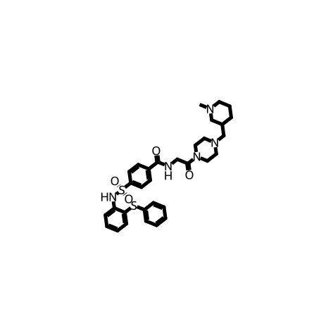 CN1CCCC(CN2CCN(C(=O)CNC(=O)c3ccc(S(=O)(=O)Nc4ccccc4Sc4ccccc4)cc3)CC2)C1